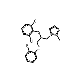 Cc1nccn1CC(COc1ccccc1F)Sc1c(Cl)cccc1Cl